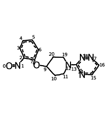 O=Nc1ccccc1OC1CCN(c2nccnn2)CC1